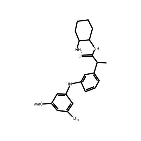 COc1cc(Nc2cccc(C(C)C(=O)NC3CCCCC3N)c2)cc(C(F)(F)F)c1